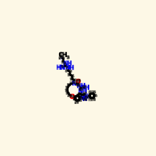 C/C=C/CNC(=N)NCCCCCCN1CCCCCCOc2ccccc2C(c2cn(-c3ccccc3)nn2)NC(=N)NC1=O